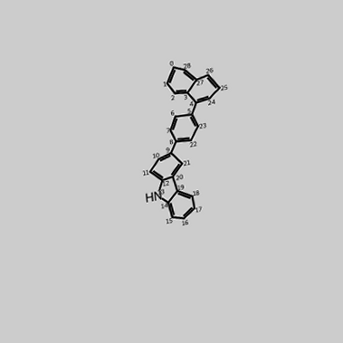 c1ccc2c(-c3ccc(-c4ccc5[nH]c6ccccc6c5c4)cc3)cccc2c1